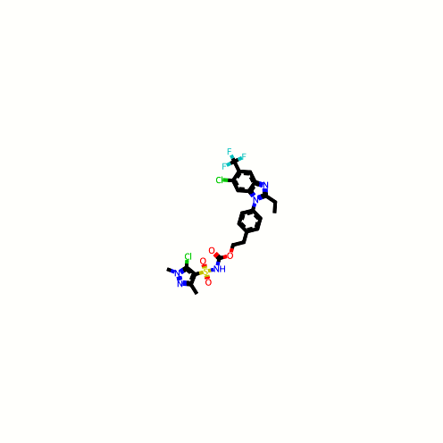 CCc1nc2cc(C(F)(F)F)c(Cl)cc2n1-c1ccc(CCOC(=O)NS(=O)(=O)c2c(C)nn(C)c2Cl)cc1